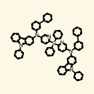 c1ccc(-c2cccc(N(c3ccc([Si](c4ccccc4)(c4ccccc4)c4ccc(N(c5cccc(-c6ccccc6)c5)c5ccc6c(c5)c5ccccc5n6-c5ccccc5)cn4)nc3)c3ccc4c(c3)c3ccccc3n4-c3ccccc3)c2)cc1